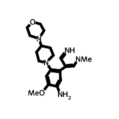 CN/C=C(\C=N)c1cc(N)c(OC)cc1N1CCC(N2CCOCC2)CC1